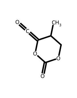 CC1COC(=O)OC1=C=O